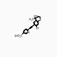 CCOC(=O)c1ccc(C#Cc2cc3c(cc2CC)SCCC3(C)C)nc1